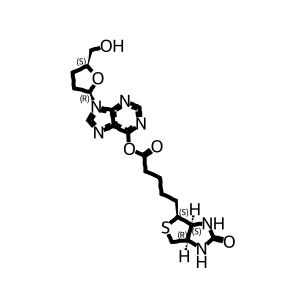 O=C1N[C@H]2[C@H](CS[C@H]2CCCCC(=O)Oc2ncnc3c2ncn3[C@H]2CC[C@@H](CO)O2)N1